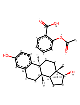 CC(=O)Oc1ccccc1C(=O)O.C[C@]12CC[C@@H]3c4ccc(O)cc4CC[C@H]3[C@@H]1CC[C@@H]2O